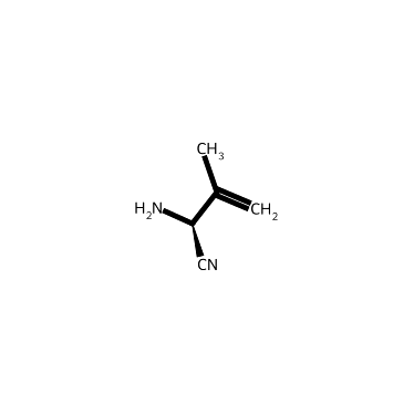 C=C(C)[C@H](N)C#N